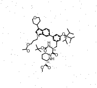 COC(=O)[C@@H]1CCCN(C(=O)[C@H](Cc2cc(O[Si](C(C)C)(C(C)C)C(C)C)cc(-c3ccc4c(C5CCOCC5)cn(CCCOC(C)=O)c4c3)c2)NC(=O)OC(C)(C)C)N1